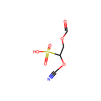 N#COC(COC=O)S(=O)(=O)O